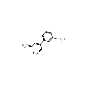 C=C/C=C(\C=C)c1cccc(C(=O)O)c1